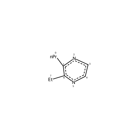 CCCc1nccnc1CC